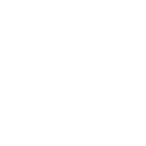 CCCCCCCCCCS(C)(C)Cl